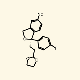 [C-]#[N+]c1ccc2c(c1)CO[C@]2(CCC1OCCO1)c1ccc(F)cc1